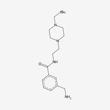 CC(C)(C)CN1CCN(CCNC(=O)c2cccc(CN)c2)CC1